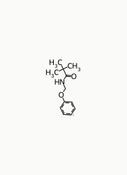 CC(C)(C)C(=O)NCOc1cc[c]cc1